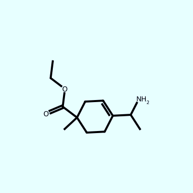 CCOC(=O)C1(C)CC=C(C(C)N)CC1